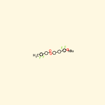 CCCCOc1ccc(C2CCC(C3CCC(OC(=O)C4CCC(c5ccc(C)c(F)c5F)CC4)CC3)CC2)c(F)c1F